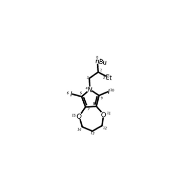 CCCCC(CC)Cn1c(I)c2c(c1I)OCCCO2